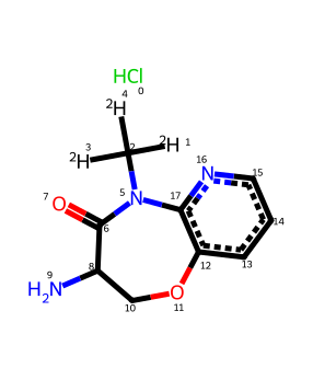 Cl.[2H]C([2H])([2H])N1C(=O)C(N)COc2cccnc21